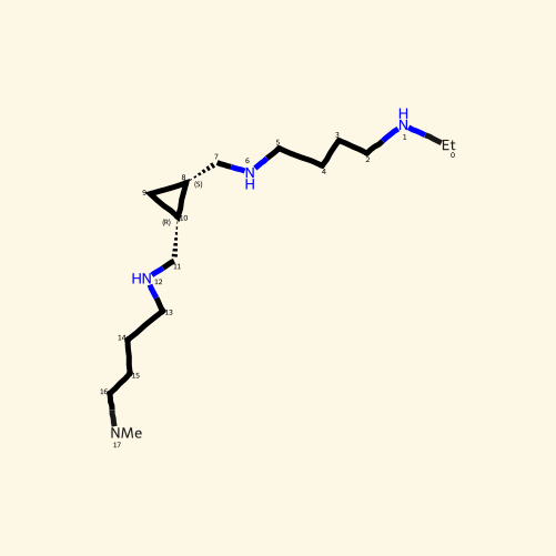 CCNCCCCNC[C@H]1C[C@H]1CNCCCCNC